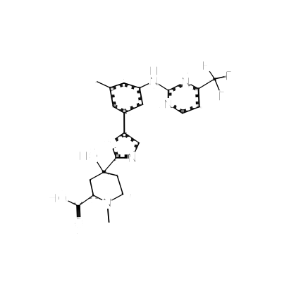 Cc1cc(Nc2nccc(C(F)(F)F)n2)cc(-c2cnc(C3(O)CCN(C)C(C(=O)O)C3)s2)c1